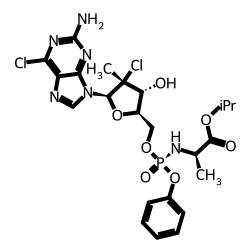 CC(C)OC(=O)[C@@H](C)N[P@](=O)(OC[C@H]1O[C@@H](n2cnc3c(Cl)nc(N)nc32)[C@](C)(Cl)[C@@H]1O)Oc1ccccc1